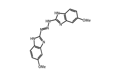 COc1ccc2[nH]c(N=NNc3nc4cc(OC)ccc4[nH]3)nc2c1